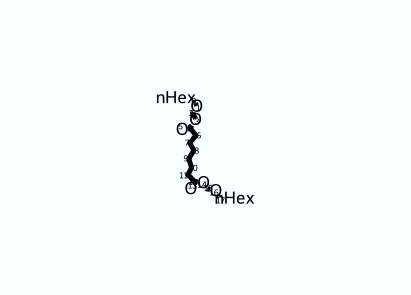 CCCCCCOCOC(=O)CCCCCCC(=O)OCOCCCCCC